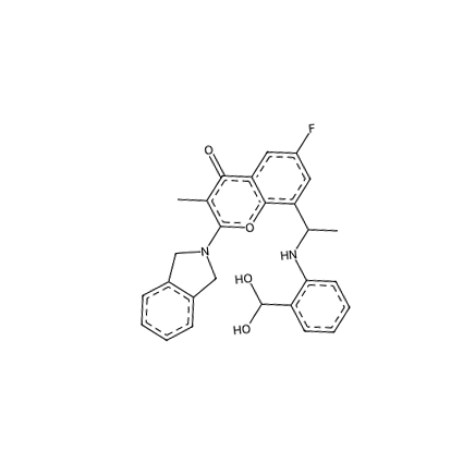 Cc1c(N2Cc3ccccc3C2)oc2c(C(C)Nc3ccccc3C(O)O)cc(F)cc2c1=O